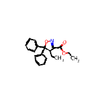 CCOC(=O)C1=NOC(c2ccccc2)(c2ccccc2)C1CC